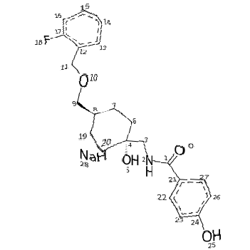 O=C(NC[C@]1(O)CC[C@H](COCc2ccccc2F)CC1)c1ccc(O)cc1.[NaH]